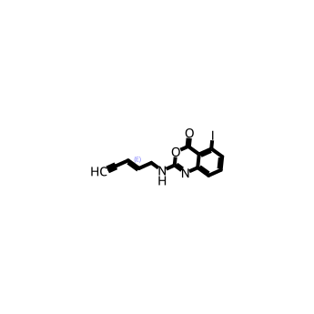 C#C/C=C/CNc1nc2cccc(I)c2c(=O)o1